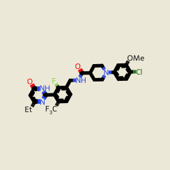 CCc1cc(=O)[nH]c(-c2c(C(F)(F)F)ccc(CNC(=O)C3CCN(c4ccc(Cl)c(OC)c4)CC3)c2F)n1